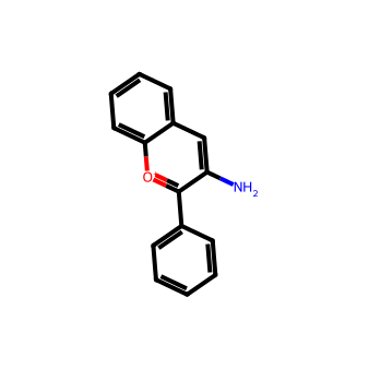 Nc1cc2ccccc2[o+]c1-c1ccccc1